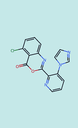 O=c1oc(-c2ncccc2-n2ccnc2)nc2cccc(Cl)c12